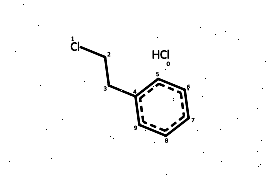 Cl.ClCCc1c[c]ccc1